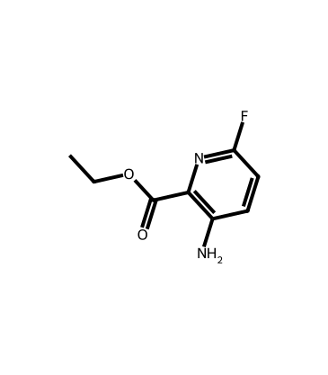 CCOC(=O)c1nc(F)ccc1N